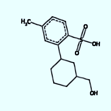 Cc1ccc(S(=O)(=O)O)c(C2CCCC(CO)C2)c1